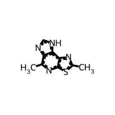 Cc1nc2c(nc(C)c3nc[nH]c32)s1